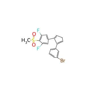 CS(=O)(=O)c1c(F)cc(C2=CCC=C2c2cccc(Br)c2)cc1F